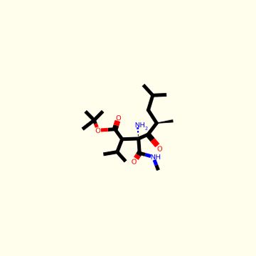 CNC(=O)[C@](N)(C(=O)[C@H](C)CC(C)C)C(C(=O)OC(C)(C)C)C(C)C